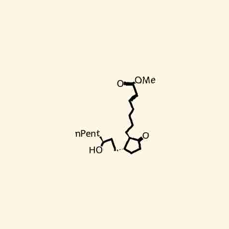 CCCCC[C@H](O)CC[C@H]1CCC(=O)[C@@H]1CCCCC=CC(=O)OC